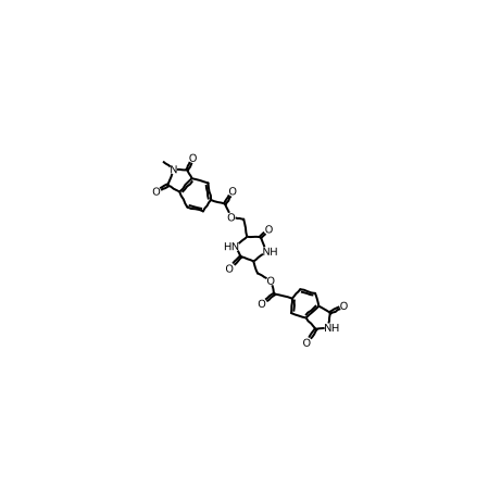 CN1C(=O)c2ccc(C(=O)OCC3NC(=O)C(COC(=O)c4ccc5c(c4)C(=O)NC5=O)NC3=O)cc2C1=O